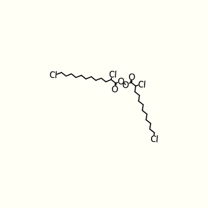 O=C(OOC(=O)C(Cl)CCCCCCCCCCCl)C(Cl)CCCCCCCCCCCl